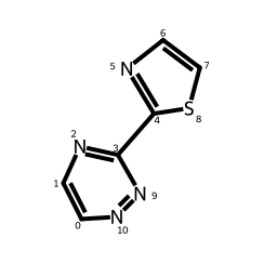 c1cnc(-c2nccs2)nn1